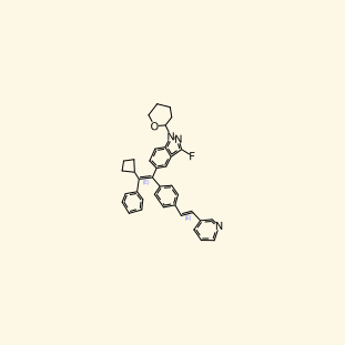 Fc1nn(C2CCCCO2)c2ccc(/C(=C(/c3ccccc3)C3CCC3)c3ccc(/C=C/c4cccnc4)cc3)cc12